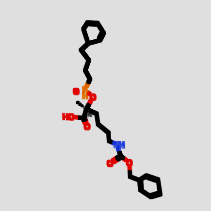 C[C@@](CCCCNC(=O)OCc1ccccc1)(O[PH](=O)CCCCC1C=CC=CC1)C(=O)O